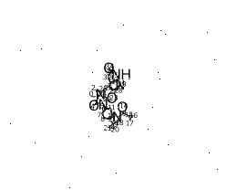 CC1(C)C(=O)N(c2ccc3c(c2)N(C(=O)C2CC2)CC32CC2)C(=O)N1Cc1ccnc2c1CC(=O)N2